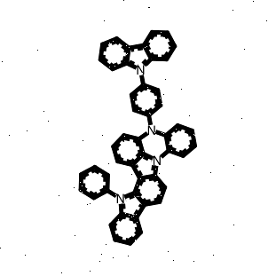 c1ccc(-n2c3ccccc3c3ccc4c(c5cccc6c5n4-c4ccccc4N6c4ccc(-n5c6ccccc6c6ccccc65)cc4)c32)cc1